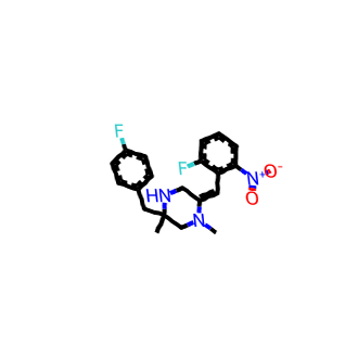 CN1CC(C)(Cc2ccc(F)cc2)NCC1=Cc1c(F)cccc1[N+](=O)[O-]